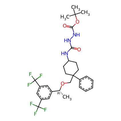 C[C@@H](OCC1(c2ccccc2)CCC(NC(=O)NNC(=O)OC(C)(C)C)CC1)c1cc(C(F)(F)F)cc(C(F)(F)F)c1